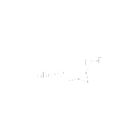 CCCCOCC1CC1BF